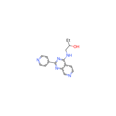 CCC(O)CNc1nc(-c2ccncc2)nc2cnccc12